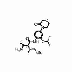 CN(CC(C)(C)C)[C@@H](C(N)=O)C(=O)Nc1ccc(N2CCOCC2=O)cc1OC(F)F